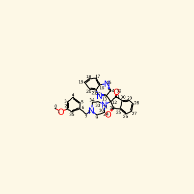 COc1cccc(CN2CCN(C3(c4cnc5ccccc5n4)C(=O)c4ccccc4C3=O)CC2)c1